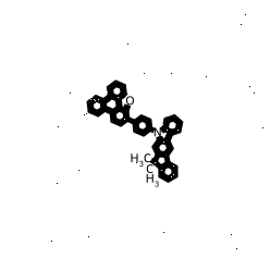 CC1(C)c2ccccc2-c2cc3c4ccccc4n(-c4ccc(-c5ccc6c7ccccc7c7cccc8oc5c6c87)cc4)c3cc21